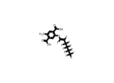 Cc1cc(C(=O)O)c(OC(F)=C(F)C(F)(F)C(F)(F)C(F)(F)C(F)(F)F)cc1C(=O)O